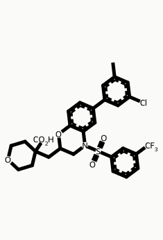 Cc1cc(Cl)cc(-c2ccc3c(c2)N(S(=O)(=O)c2cccc(C(F)(F)F)c2)CC(CC2(C(=O)O)CCOCC2)O3)c1